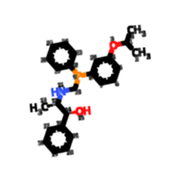 CC(C)Oc1cccc(P(CN[C@@H](C)[C@H](O)c2ccccc2)c2ccccc2)c1